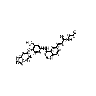 Cc1cc(Nc2ncnc3ccc(C=CC(=O)NCCO)cc23)ccc1Oc1cc2nncn2cn1